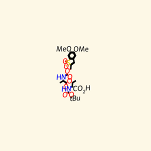 COc1cc2c(cc1OC)S(=O)(=O)C(COC(=O)NC(C)C(=O)OC(C)C(NC(=O)OC(C)(C)C)C(=O)O)=C2